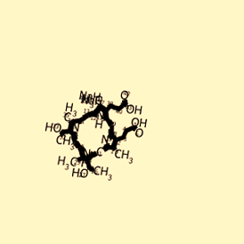 CC1=C(CCC(=O)O)c2cc3[nH]c(cc4nc(cc5[nH]c(cc1n2)c(C(C)O)c5C)C(C(C)O)=C4C)c(C)c3CCC(=O)O.[NaH].[NaH]